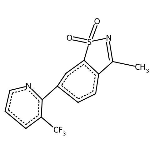 CC1=NS(=O)(=O)c2cc(-c3ncccc3C(F)(F)F)ccc21